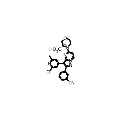 Cc1cc(-c2c(-c3cccc(C#N)c3)nn3ccc(N4CCOC[C@H]4C(=O)O)nc23)cc(Cl)n1